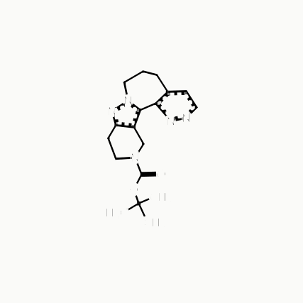 CC(C)(C)OC(=O)N1CCc2nn3c(c2C1)-c1nnccc1CCC3